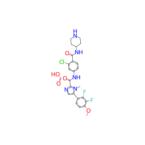 COc1ccc(-c2cnc(C(=O)Nc3ccc(C(=O)NC4CCNCC4)c(Cl)c3)n2C)c(F)c1F.O=CO